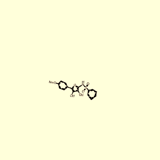 COc1ccc(-c2oc(NS(=O)(=O)c3ccccc3)c(O)c2O)cc1